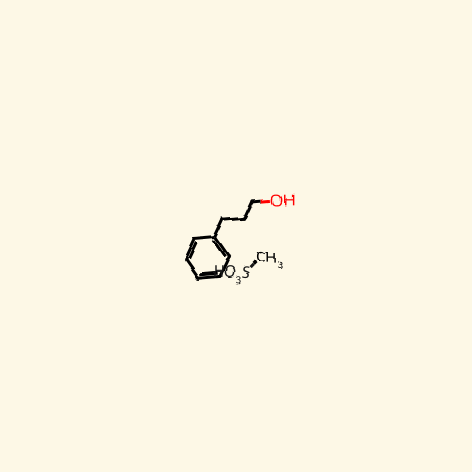 CS(=O)(=O)O.OCCCc1ccccc1